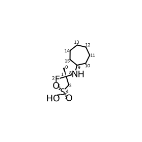 C[C@](F)(CS(=O)(=O)O)NC1CCCCCC1